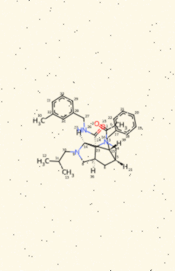 CC(=O)N1C[C@@H]2C[C@H]3CN(CC(C)C)[C@@H]([C@@H]2Cc2ccccc2)[C@]31C(=O)NCc1cccc(C)c1